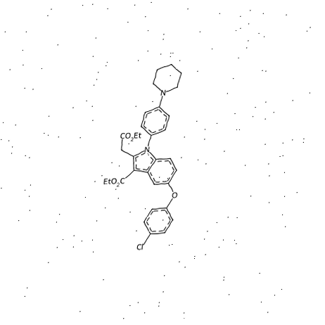 CCOC(=O)Cc1c(C(=O)OCC)c2cc(Oc3ccc(Cl)cc3)ccc2n1-c1ccc(N2CCCCC2)cc1